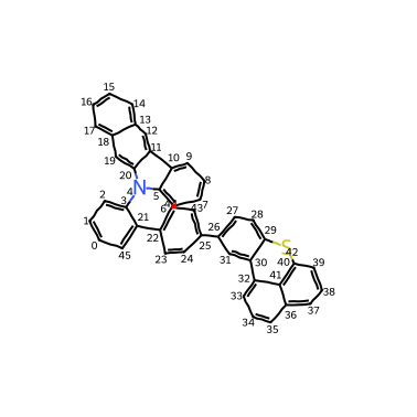 c1ccc(-n2c3ccccc3c3cc4ccccc4cc32)c(-c2ccc(-c3ccc4c(c3)-c3cccc5cccc(c35)S4)cc2)c1